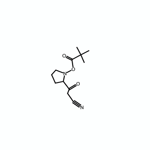 CC(C)(C)C(=O)ON1CCCC1C(=O)CC#N